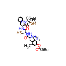 Cc1cc(OC(=O)OCC(C)C)cc(C)c1C[C@H](N)C(=O)N[C@H](CS)C(=O)N[C@@H](Cc1ccccc1)C(=O)N[C@@H](C(=O)O)C(C)(C)S